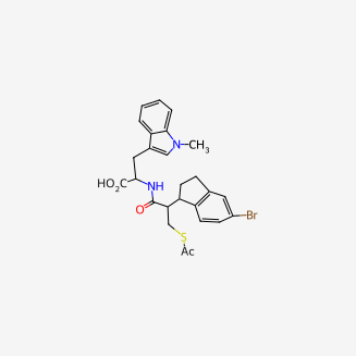 CC(=O)SCC(C(=O)NC(Cc1cn(C)c2ccccc12)C(=O)O)C1CCc2cc(Br)ccc21